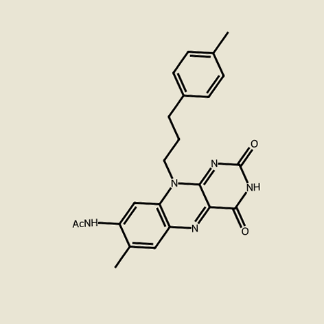 CC(=O)Nc1cc2c(cc1C)nc1c(=O)[nH]c(=O)nc-1n2CCCc1ccc(C)cc1